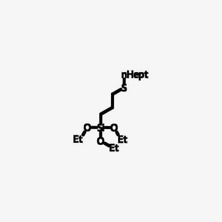 CCCCCCCSCCC[Si](OCC)(OCC)OCC